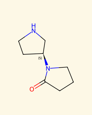 O=C1CCCN1[C@H]1CCNC1